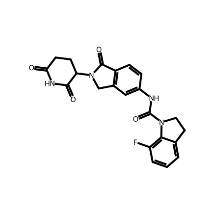 O=C1CCC(N2Cc3cc(NC(=O)N4CCc5cccc(F)c54)ccc3C2=O)C(=O)N1